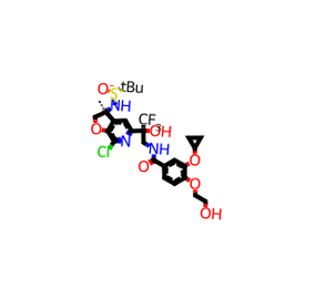 CC(C)(C)[S+]([O-])N[C@]1(C)COc2c1cc(C(O)(CNC(=O)c1ccc(OCCO)c(OC3CC3)c1)C(F)(F)F)nc2Cl